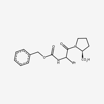 CC(C)C(NC(=O)OCc1ccccc1)C(=O)N1CCC[C@H]1C(=O)O